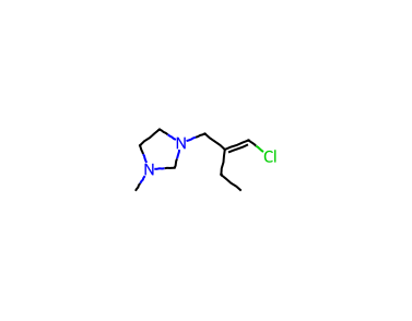 CC/C(=C\Cl)CN1CCN(C)C1